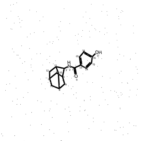 O=C(NC1C2CC3CC(C2)CC1C3)c1ccc(O)cc1